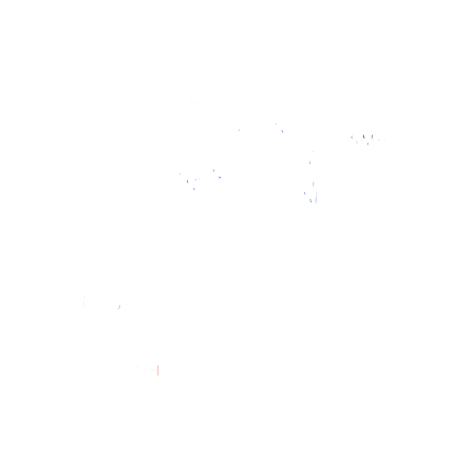 CSC(=N)N(C)C(S)/N=N/c1ccc(O)c(Cl)c1